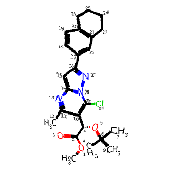 COC(=O)[C@@H](OC(C)(C)C)c1c(C)nc2cc(-c3ccc4c(c3)CCCC4)nn2c1Cl